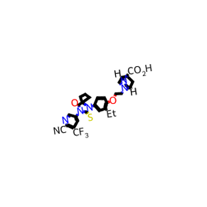 CCc1cc(N2C(=S)N(c3cnc(C#N)c(C(F)(F)F)c3)C(=O)C23CCC3)ccc1OCCN1C[C@@H]2CC[C@H]1CN2C(=O)O